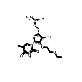 CCOCCO[C@@H]1[C@H](O)[C@@H](COP(N)O)O[C@H]1n1cc(C)c(=O)[nH]c1=O